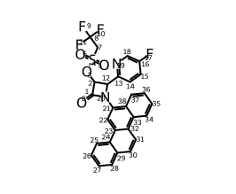 O=C1C(OS(=O)(=O)CC(F)(F)F)C(c2ccc(F)cn2)N1c1cc2c3ccccc3ccc2c2ccccc12